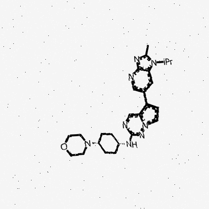 Cc1nc2ncc(-c3ccn4nc(N[C@H]5CC[C@@H](N6CCOCC6)CC5)ncc34)cc2n1C(C)C